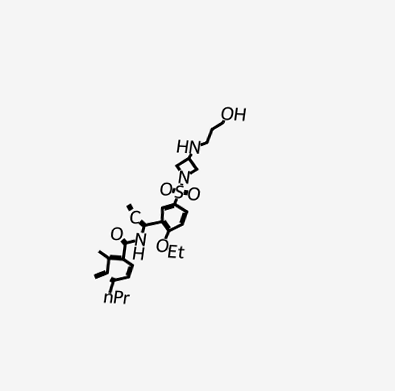 C=C=C(NC(=O)C(/C=C\C(=C)CCC)=C(\C)C=C)c1cc(S(=O)(=O)N2CC(NCCCO)C2)ccc1OCC